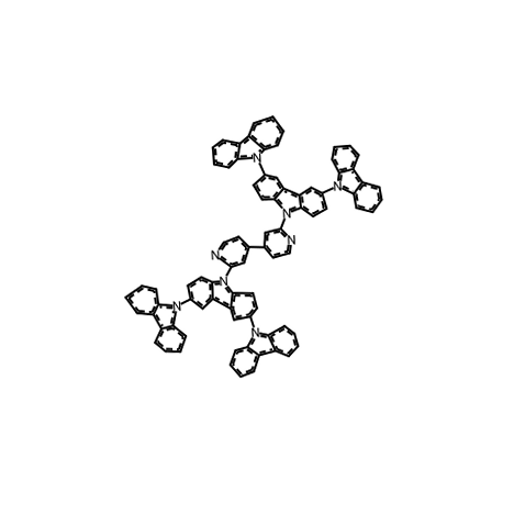 c1ccc2c(c1)c1ccccc1n2-c1ccc2c(c1)c1cc(-n3c4ccccc4c4ccccc43)ccc1n2-c1cc(-c2ccnc(-n3c4ccc(-n5c6ccccc6c6ccccc65)cc4c4cc(-n5c6ccccc6c6ccccc65)ccc43)c2)ccn1